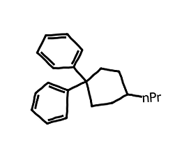 CCCC1CCC(c2ccccc2)(c2ccccc2)CC1